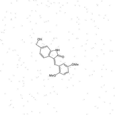 COc1ccc(OC)c(C=C2C(=O)Nc3cc(CO)ccc32)c1